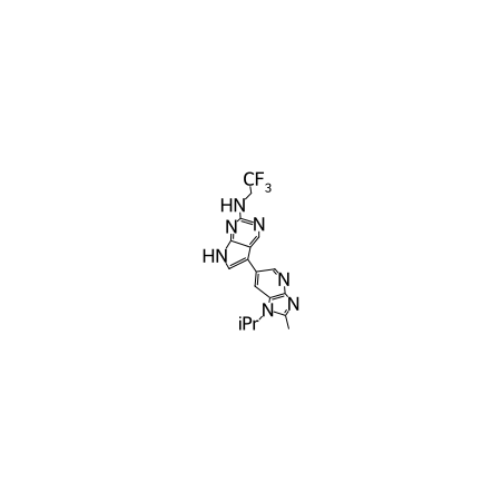 Cc1nc2ncc(-c3c[nH]c4nc(NCC(F)(F)F)ncc34)cc2n1C(C)C